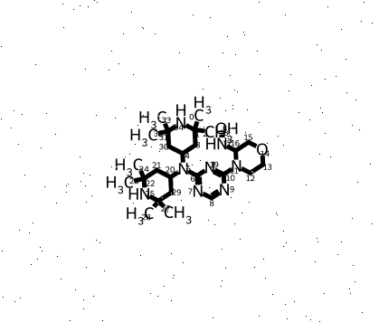 CC1(C)CC(N(c2ncnc(N3CCOCC3NO)n2)C2CC(C)(C)NC(C)(C)C2)CC(C)(C)N1